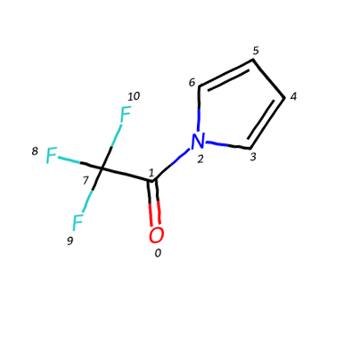 O=C(n1cccc1)C(F)(F)F